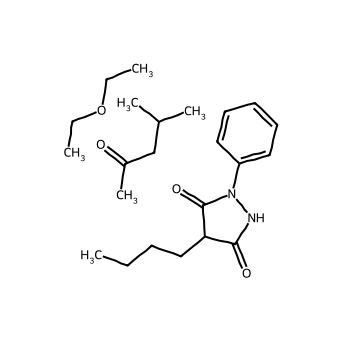 CC(=O)CC(C)C.CCCCC1C(=O)NN(c2ccccc2)C1=O.CCOCC